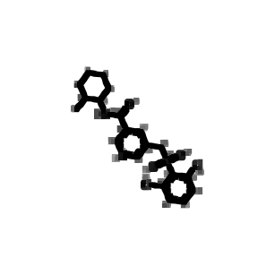 CC1CCCCC1NC(=O)c1cncc(CS(=O)(=O)c2c(Cl)cccc2Cl)c1